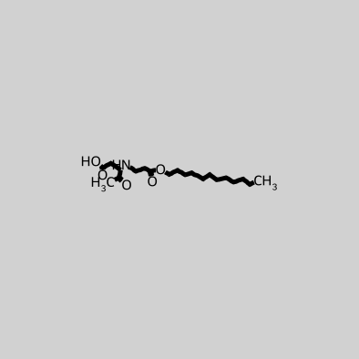 CCCCCCCCCCCCOC(=O)CCNC(CC(=O)O)C(C)=O